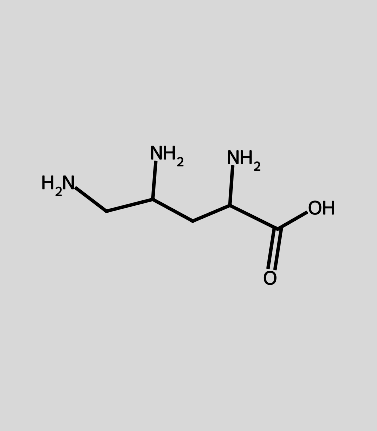 NCC(N)CC(N)C(=O)O